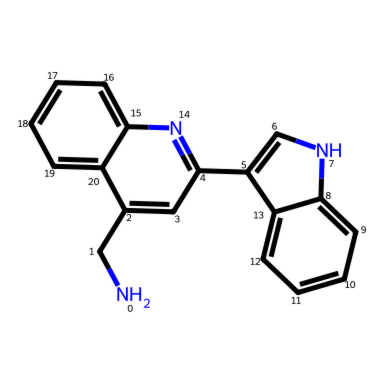 NCc1cc(-c2c[nH]c3ccccc23)nc2ccccc12